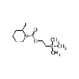 C[Si](C)(C)CCOC(=O)N1CCCCC1I